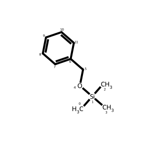 C[Si](C)(C)O[CH]c1ccccc1